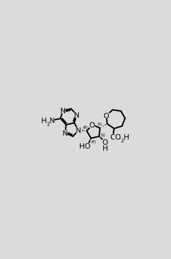 Nc1ncnc2c1ncn2[C@@H]1O[C@H](C2OCCCCC2C(=O)O)[C@@H](O)[C@H]1O